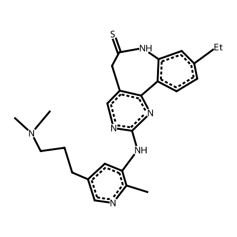 CCc1ccc2c(c1)NC(=S)Cc1cnc(Nc3cc(CCCN(C)C)cnc3C)nc1-2